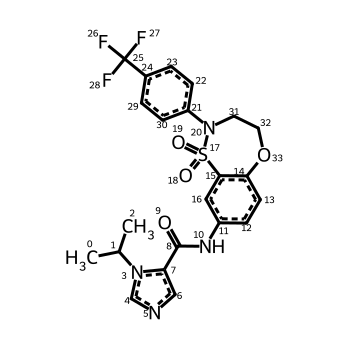 CC(C)n1cncc1C(=O)Nc1ccc2c(c1)S(=O)(=O)N(c1ccc(C(F)(F)F)cc1)CCO2